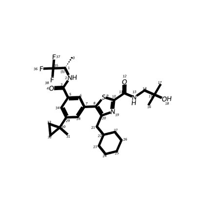 C[C@H](NC(=O)c1cc(-c2sc(C(=O)NCC(C)(C)O)nc2CC2CCCCC2)cc(C2(C)CC2)c1)C(F)(F)F